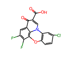 O=C(O)c1cn2c3c(c(F)c(F)cc3c1=O)Oc1ccc(Cl)cc1-2